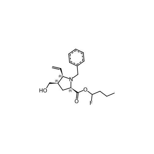 C=C[C@@H]1[C@H](CO)C[C@H](C(=O)OC(F)CCC)N1Cc1ccccc1